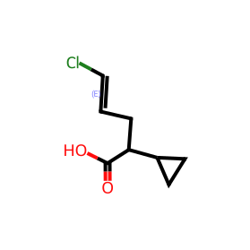 O=C(O)C(C/C=C/Cl)C1CC1